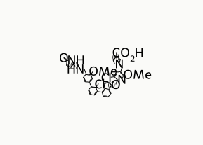 COc1cc(-c2cccc(-c3cccc4c3CC[C@@H]4Oc3nc(OC)c(CN4CC[C@@H](C(=O)O)C4)cc3Cl)c2Cl)ccc1CNC[C@@H]1CCC(=O)N1